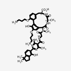 Cc1nc(-c2ccc3c(c2O)CCC3(C)C)nc(N)c1C(=O)NCC(=O)N(C)[C@@H]1C(=O)N[C@@H](C)C(=O)N[C@H](C(=O)O)Cc2ccc(OCCCN)c(c2)-c2cc1cc(OCCCN)c2O